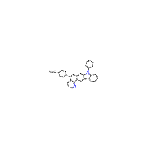 COc1ccc(-c2cc3cc4c(cc3c3ncccc23)c2ccccc2n4-c2ccccc2)cc1